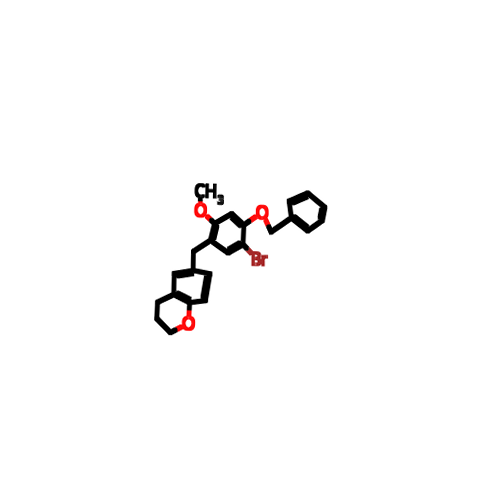 COc1cc(OCc2ccccc2)c(Br)cc1Cc1ccc2c(c1)CCCO2